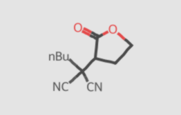 CCCCC(C#N)(C#N)C1CCOC1=O